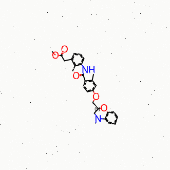 COC(=O)Cc1cccc(NC(=O)c2ccc(OC[C@@H]3CN(C)c4ccccc4O3)cc2C)c1C